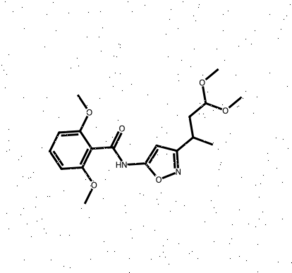 COc1cccc(OC)c1C(=O)Nc1cc(C(C)CC(OC)OC)no1